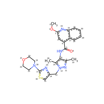 COc1cc(C(=O)Nc2c(C)nn(Cc3csc(N4CCOCC4)n3)c2C)c2ccccc2n1